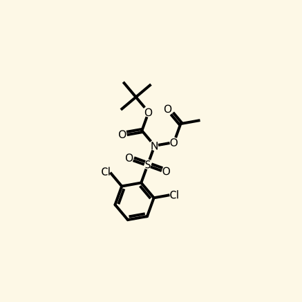 CC(=O)ON(C(=O)OC(C)(C)C)S(=O)(=O)c1c(Cl)cccc1Cl